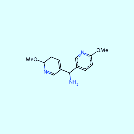 COc1ccc(C(N)C2=CCC(OC)N=C2)cn1